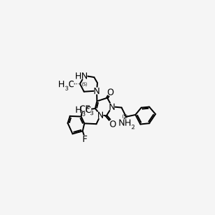 Cc1c(N2CCN[C@@H](C)C2)c(=O)n(C[C@@H](N)c2ccccc2)c(=O)n1Cc1c(F)cccc1C(F)(F)F